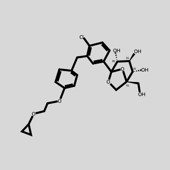 OC[C@@]12COC(c3ccc(Cl)c(Cc4ccc(OCCOC5CC5)cc4)c3)(O1)[C@H](O)[C@@H](O)[C@@H]2O